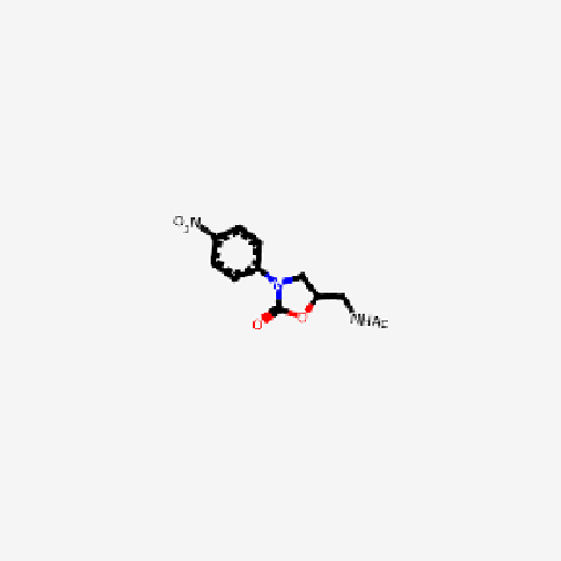 CC(=O)NCC1CN(c2ccc([N+](=O)[O-])cc2)C(=O)O1